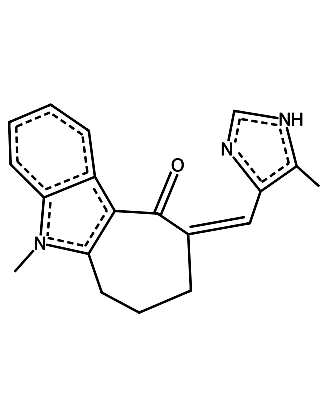 Cc1[nH]cnc1/C=C1/CCCc2c(c3ccccc3n2C)C1=O